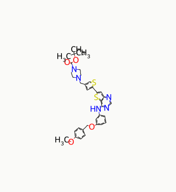 COc1ccc(COc2cccc(Nc3ncnc4cc(-c5cc(CN6CCN(C(=O)OC(C)(C)C)CC6)cs5)sc34)c2)cc1